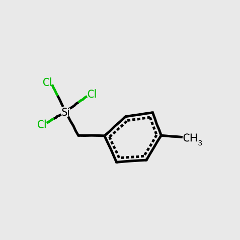 Cc1ccc(C[Si](Cl)(Cl)Cl)cc1